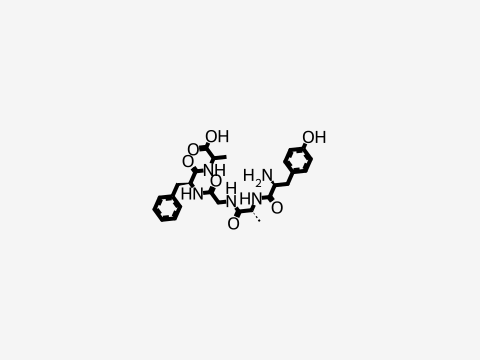 CC(NC(=O)[C@H](Cc1ccccc1)NC(=O)CNC(=O)[C@@H](C)NC(=O)[C@@H](N)Cc1ccc(O)cc1)C(=O)O